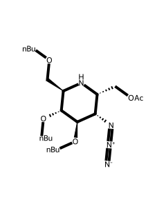 CCCCOC[C@H]1N[C@H](COC(C)=O)[C@H](N=[N+]=[N-])[C@@H](OCCCC)[C@@H]1OCCCC